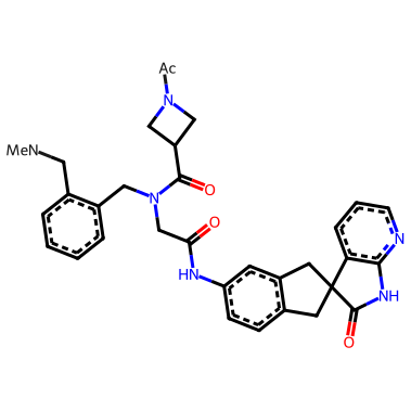 CNCc1ccccc1CN(CC(=O)Nc1ccc2c(c1)CC1(C2)C(=O)Nc2ncccc21)C(=O)C1CN(C(C)=O)C1